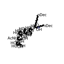 CCCCCCCCCCCCC/C=C/[C@@H](O)[C@H](CO[C@@H]1OC(CO)[C@@H](O[C@@H]2OC(CO)[C@H](O[C@@H]3OC(CO)[C@H](O[C@@H]4OC(CO)[C@H](O)[C@H](O[C@@H]5OC(CO)[C@H](O)[C@H](O)C5O)C4NC(C)=O)[C@H](O)C3O)[C@H](O)C2O)[C@H](O)C1O)NC(=O)CCCCCCCCCCCCCCCCC